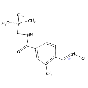 C[Si](C)(C)CNC(=O)c1ccc(/C=N/O)c(C(F)(F)F)c1